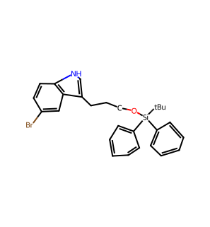 CC(C)(C)[Si](OCCCc1c[nH]c2ccc(Br)cc12)(c1ccccc1)c1ccccc1